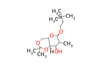 CC1[C@H](OCC[Si](C)(C)C)OC2COC(C)(C)O[C@H]2[C@@H]1O